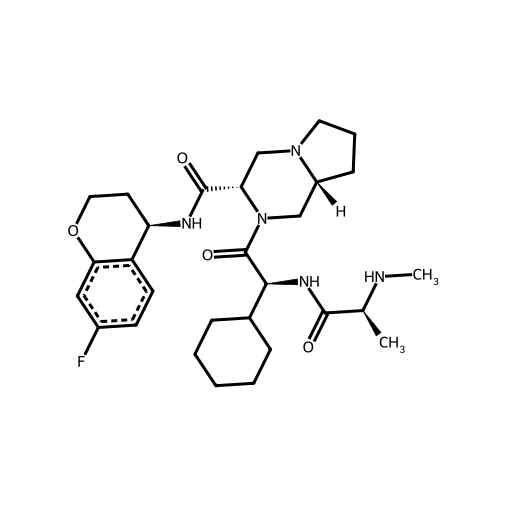 CN[C@@H](C)C(=O)N[C@H](C(=O)N1C[C@H]2CCCN2C[C@H]1C(=O)N[C@@H]1CCOc2cc(F)ccc21)C1CCCCC1